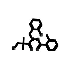 Cc1ccccc1C(=O)ON(Cc1ccccc1Cl)C(=O)C(C)(C)CCl